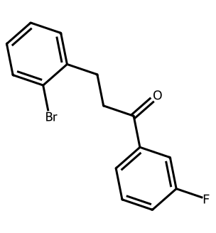 O=C(CCc1ccccc1Br)c1cccc(F)c1